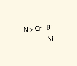 [B].[Cr].[Nb].[Ni]